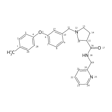 Cc1ccc(Oc2cccc(CN3CCC(C(=O)NCc4ccccn4)C3)c2)cc1